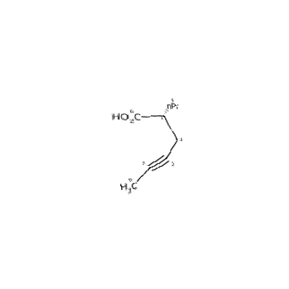 CC#CC[C@@H](CCC)C(=O)O